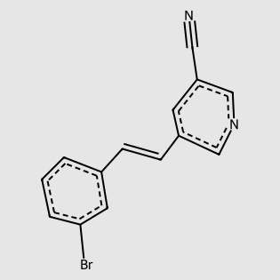 N#Cc1cncc(/C=C/c2cccc(Br)c2)c1